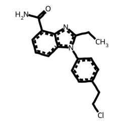 CCc1nc2c(C(N)=O)cccc2n1-c1ccc(CCCl)cc1